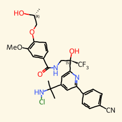 COc1cc(C(=O)NC[C@](O)(c2cc(C(C)(C)NCl)cc(-c3ccc(C#N)cc3)n2)C(F)(F)F)ccc1OC[C@@H](C)O